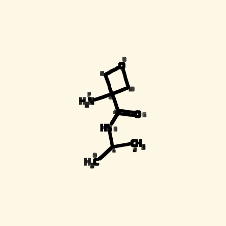 CC(C)NC(=O)C1(N)COC1